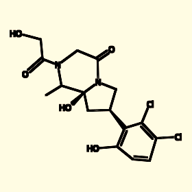 CC1N(C(=O)CO)CC(=O)N2C[C@@H](c3c(O)ccc(Cl)c3Cl)C[C@]12O